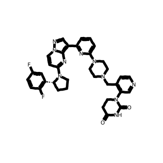 O=C1CCN(c2cnccc2CN2CCN(c3cccc(-c4cnn5ccc(N6CCC[C@@H]6c6cc(F)ccc6F)nc45)n3)CC2)C(=O)N1